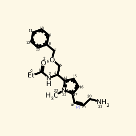 CCC(=O)NC(COCc1ccccc1)c1ccc(/C=C\CN)n1C